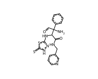 NC(C=O)(c1ccccc1)C(Nc1n[nH]c(=S)s1)C(=O)NCc1cccnc1